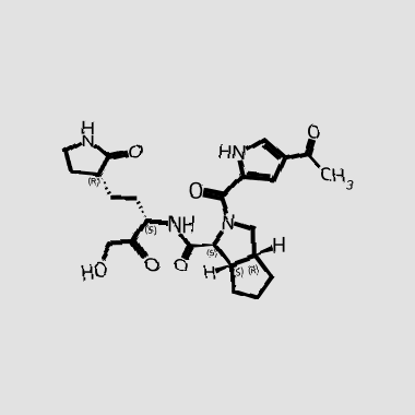 CC(=O)c1c[nH]c(C(=O)N2C[C@@H]3CCC[C@@H]3[C@H]2C(=O)N[C@@H](CC[C@@H]2CCNC2=O)C(=O)CO)c1